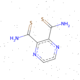 NC(=S)c1nccnc1C(N)=S